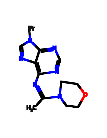 C/C(=N/c1ncnc2c1ncn2C(C)C)N1CCOCC1